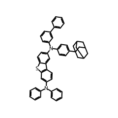 c1ccc(-c2cccc(N(c3ccc(C45CC6CC(CC(C6)C4)C5)cc3)c3ccc4sc5cc(N(c6ccccc6)c6ccccc6)ccc5c4c3)c2)cc1